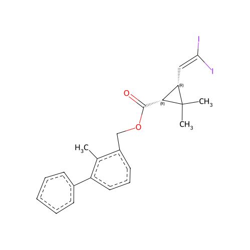 Cc1c(COC(=O)[C@@H]2[C@H](C=C(I)I)C2(C)C)cccc1-c1ccccc1